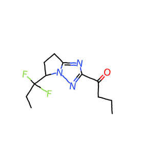 CCCC(=O)c1nc2n(n1)C(C(F)(F)CC)CC2